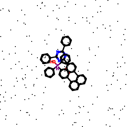 O[PH](c1ccccc1)(c1ccccc1)c1ccc(-c2cccc3cccc(-c4ccc(-c5nc(-c6ccccc6)nc(-c6ccccc6)n5)cc4)c23)cc1